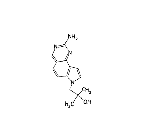 CC(C)(O)Cn1ccc2c3nc(N)ncc3ccc21